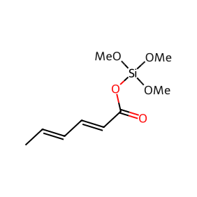 C/C=C/C=C/C(=O)O[Si](OC)(OC)OC